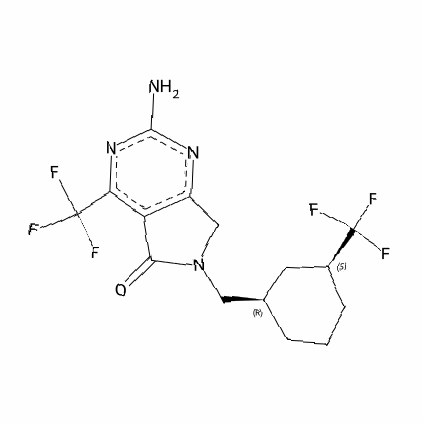 Nc1nc2c(c(C(F)(F)F)n1)C(=O)N(C[C@@H]1CCC[C@H](C(F)(F)F)C1)C2